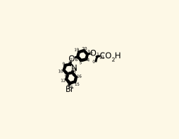 CC(Oc1ccc(Oc2ccc3cc(Br)ccc3n2)cc1)C(=O)O